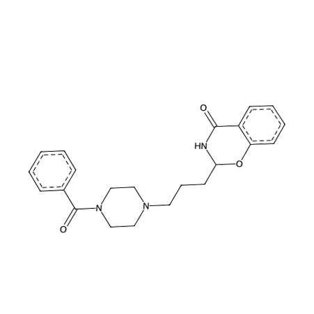 O=C1NC(CCCN2CCN(C(=O)c3ccccc3)CC2)Oc2ccccc21